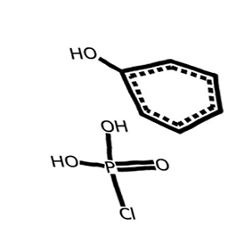 O=P(O)(O)Cl.Oc1ccccc1